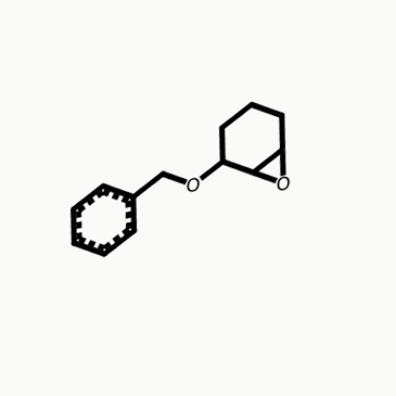 c1ccc(COC2CCCC3OC23)cc1